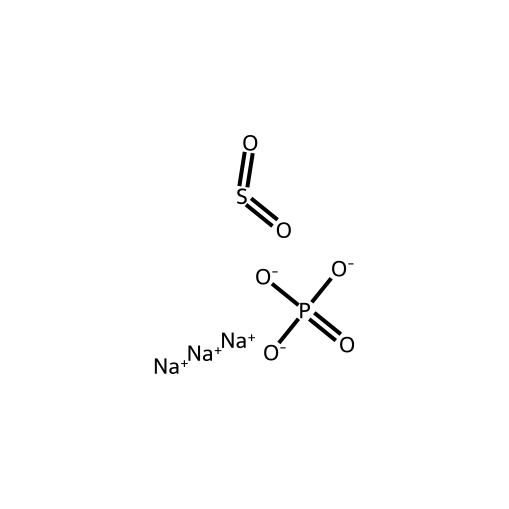 O=P([O-])([O-])[O-].O=S=O.[Na+].[Na+].[Na+]